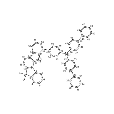 CC1(C)c2ccccc2-c2c1ccc1c3c(oc21)C(c1ccc(N(c2ccc(-c4ccccc4)cc2)c2ccc(-c4ccccc4)cc2)cc1)=C=C=C3